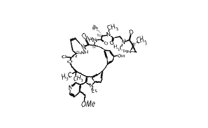 CCn1c(-c2cnccc2COC)c2c3cc(ccc31)-c1cc(O)cc(c1)C[C@H](NC(=O)[C@H](C(C)C)N(C)C(=O)CN(C)C(=O)[C@@]1(C)CN1)C(=O)N1CCC[C@H](N1)C(=O)OCC(C)(C)C2